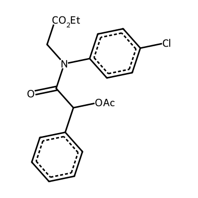 CCOC(=O)CN(C(=O)C(OC(C)=O)c1ccccc1)c1ccc(Cl)cc1